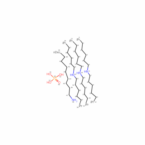 CC(C)CCCCCNCCCCCC(C)C.CC(C)CCCCCNCCCCCC(C)C.CC(C)CCCCCNCCCCCC(C)C.CCCCCCCCCCCCCCCCCCN.O=P(O)(O)O